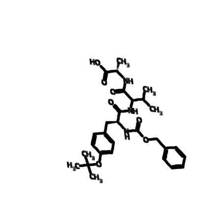 CC(C)C(NC(=O)[C@H](Cc1ccc(OC(C)(C)C)cc1)NC(=O)OCc1ccccc1)C(=O)N[C@@H](C)C(=O)O